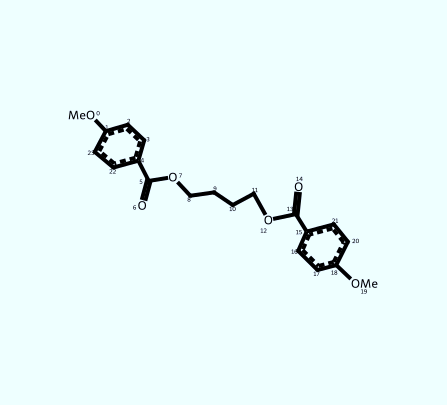 COc1ccc(C(=O)OCCCCOC(=O)c2ccc(OC)cc2)cc1